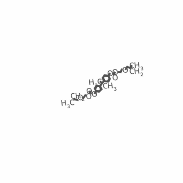 C=C(C)COCCOC(=O)Oc1ccc(C(C)(C)c2ccc(OC(=O)OCCOCC(=C)C)cc2)cc1